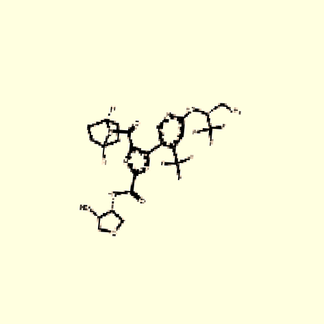 CC[C@H](Nc1cc(C(F)(F)F)c(-c2sc(C(=O)N[C@@H]3COC[C@H]3O)nc2C(=O)N2[C@H]3CC[C@H]2CC3)cn1)C(F)(F)F